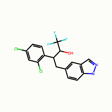 OC(C(Cc1ccc2c(c1)C=N[N]2)c1ccc(Cl)cc1Cl)C(F)(F)F